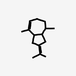 CC1=C[CH]CC(C)C2CC(=C(C)C)CC12